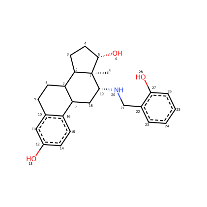 C[C@]12C(CC[C@@H]1O)C1CCc3cc(O)ccc3C1C[C@H]2NCc1ccccc1O